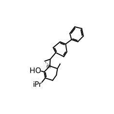 CC(C)C1=C(O)[C@]2(CC2c2ccc(-c3ccccc3)cc2)C(C)CC1